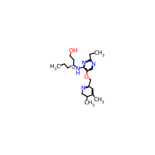 CCC[C@@H](CCO)Nc1nc(CC)ncc1OCC1=NCC(C)C(C)=C1